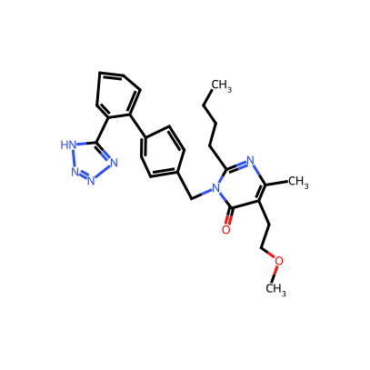 CCCCc1nc(C)c(CCOC)c(=O)n1Cc1ccc(-c2ccccc2-c2nnn[nH]2)cc1